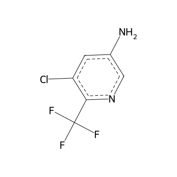 Nc1cnc(C(F)(F)F)c(Cl)c1